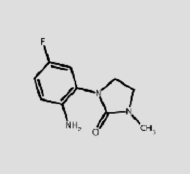 CN1CCN(c2cc(F)ccc2N)C1=O